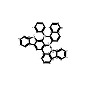 c1ccc(N2c3c(ccc4ccccc34)B3c4c(cc5c(oc6ccccc65)c42)-c2cccc4c5ccccc5n3c24)cc1